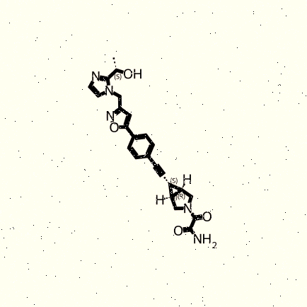 C[C@H](O)c1nccn1Cc1cc(-c2ccc(C#C[C@@H]3[C@H]4CN(C(=O)C(N)=O)C[C@@H]34)cc2)on1